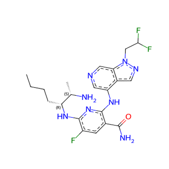 CCCC[C@@H](Nc1nc(Nc2cncc3c2cnn3CC(F)F)c(C(N)=O)cc1F)[C@H](C)N